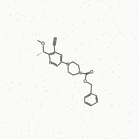 C#Cc1cc(N2CCN(C(=O)OCc3ccccc3)CC2)cnc1[C@H](C)OC